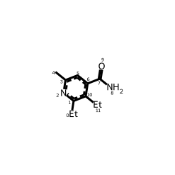 CCc1nc(C)cc(C(N)=O)c1CC